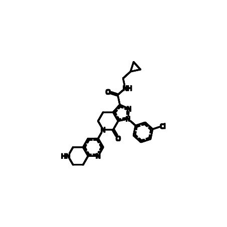 O=C(NCC1CC1)c1nn(-c2cccc(Cl)c2)c2c1CCN(c1cnc3c(c1)CNCC3)C2=O